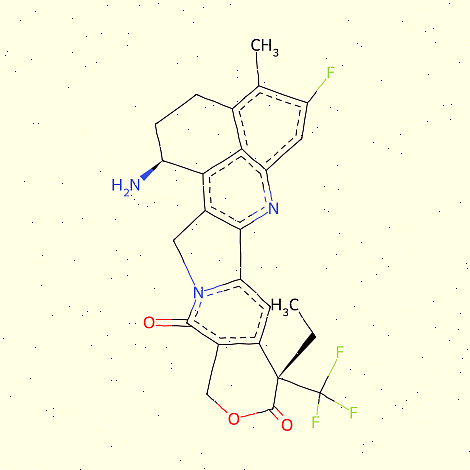 CC[C@@]1(C(F)(F)F)C(=O)OCc2c1cc1n(c2=O)Cc2c-1nc1cc(F)c(C)c3c1c2[C@@H](N)CC3